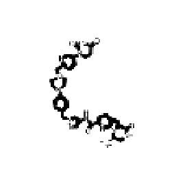 C[C@@H]1CNC(=O)c2cc3ccc(C(=O)Nc4cnn(Cc5ccc(N6CCN(Cc7ccc(N8CCC(=O)NC8=O)cn7)CC6)cc5)c4)nc3n21